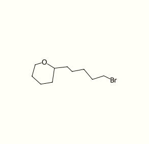 BrCCCCCC1CCCCO1